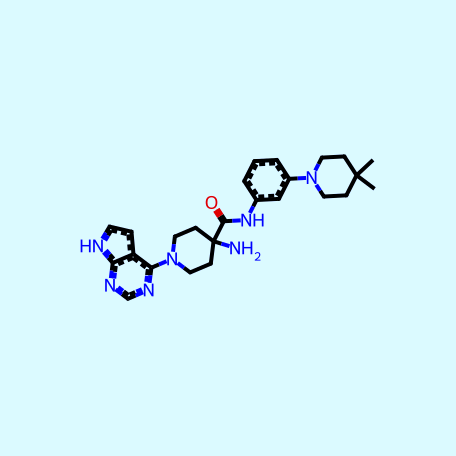 CC1(C)CCN(c2cccc(NC(=O)C3(N)CCN(c4ncnc5[nH]ccc45)CC3)c2)CC1